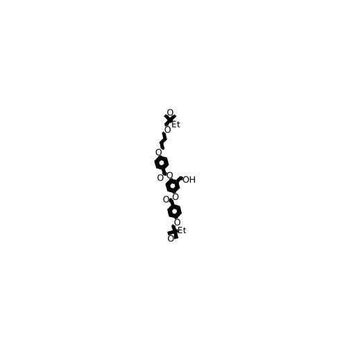 CCC1(COCCCCOc2ccc(C(=O)Oc3ccc(OC(=O)c4ccc(OCC5(CC)COC5)cc4)cc3CO)cc2)COC1